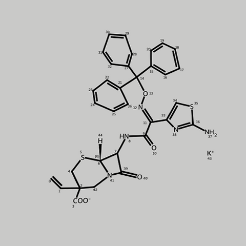 C=CC1(C(=O)[O-])CS[C@@H]2C(NC(=O)C(=NOC(c3ccccc3)(c3ccccc3)c3ccccc3)c3csc(N)n3)C(=O)N2C1.[K+]